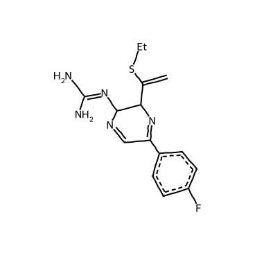 C=C(SCC)C1N=C(c2ccc(F)cc2)C=NC1N=C(N)N